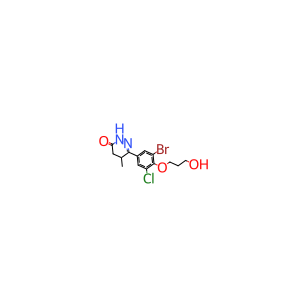 CC1CC(=O)NN=C1c1cc(Cl)c(OCCCO)c(Br)c1